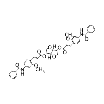 COc1cc(NC(=O)c2ccccc2)ccc1/C=C/C(=O)O[C@H]1CO[C@H]2[C@@H]1OC[C@H]2OC(=O)/C=C/c1ccc(NC(=O)c2ccccc2)cc1OC